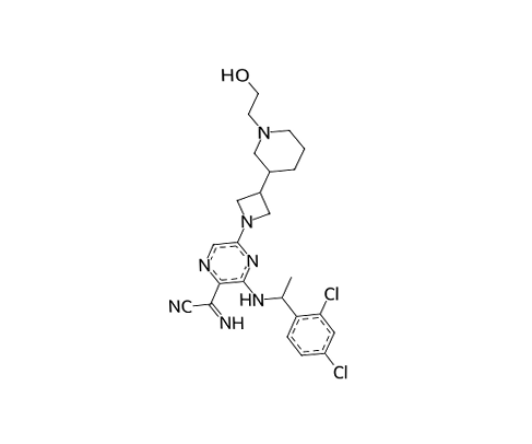 CC(Nc1nc(N2CC(C3CCCN(CCO)C3)C2)cnc1C(=N)C#N)c1ccc(Cl)cc1Cl